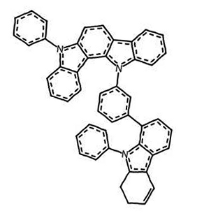 C1=Cc2c(n(-c3ccccc3)c3c(-c4cccc(-n5c6ccccc6c6ccc7c(c8ccccc8n7-c7ccccc7)c65)c4)cccc23)CC1